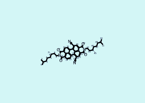 CC(C)CCC[C@H](C)CCN1C(=O)c2ccc3c4c(C#N)cc5c6c(cc(C#N)c(c7ccc(c2c37)C1=O)c64)C(=O)N(CC[C@@H](C)CCCC(C)C)C5=O